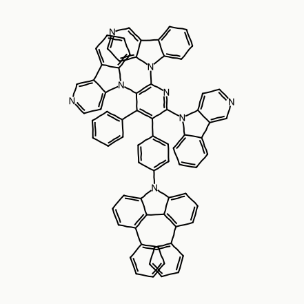 c1ccc(-c2c(-c3ccc(-n4c5cccc(-c6ccccc6)c5c5c(-c6ccccc6)cccc54)cc3)c(-n3c4ccccc4c4cnccc43)nc(-n3c4ccccc4c4cnccc43)c2-n2c3ccccc3c3cnccc32)cc1